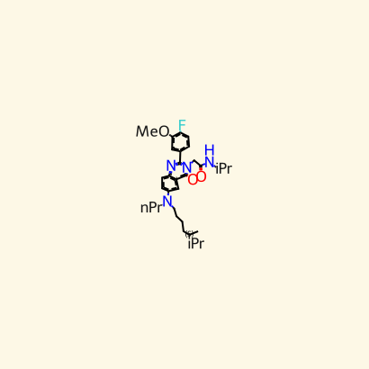 CCCN(CCCC[C@H](C)C(C)C)c1ccc2nc(-c3ccc(F)c(OC)c3)n(CC(=O)NC(C)C)c(=O)c2c1